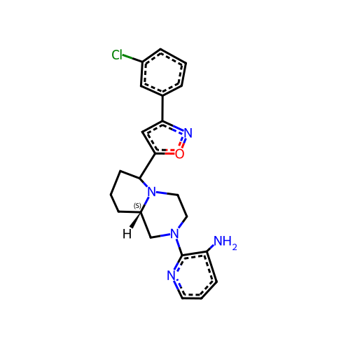 Nc1cccnc1N1CCN2C(c3cc(-c4cccc(Cl)c4)no3)CCC[C@H]2C1